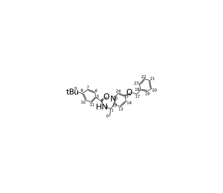 CC(NC(=O)c1ccc(C(C)(C)C)cc1)c1ccc(OCc2ccccc2)cn1